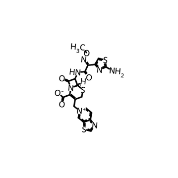 CON=C(C(=O)NC1C(=O)N2C(C(=O)[O-])=C(C[n+]3ccc4ncsc4c3)CS[C@@H]12)c1csc(N)n1